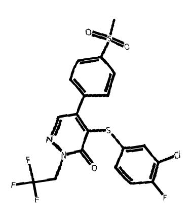 CS(=O)(=O)c1ccc(-c2cnn(CC(F)(F)F)c(=O)c2Sc2ccc(F)c(Cl)c2)cc1